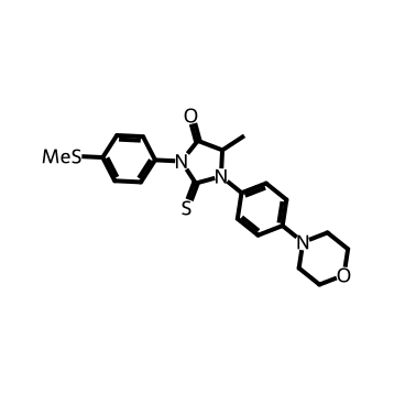 CSc1ccc(N2C(=O)C(C)N(c3ccc(N4CCOCC4)cc3)C2=S)cc1